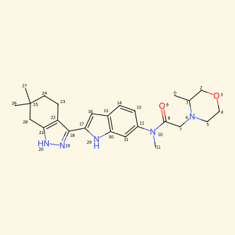 CC1COCCN1CC(=O)N(C)c1ccc2cc(-c3n[nH]c4c3CCC(C)(C)C4)[nH]c2c1